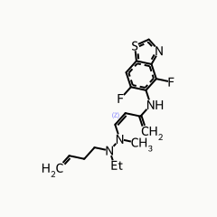 C=CCCN(CC)N(C)/C=C\C(=C)Nc1c(F)cc2scnc2c1F